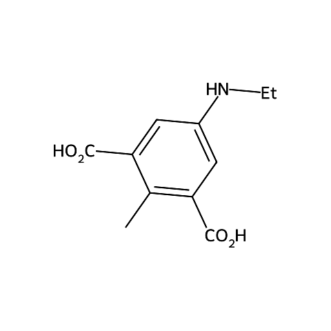 CCNc1cc(C(=O)O)c(C)c(C(=O)O)c1